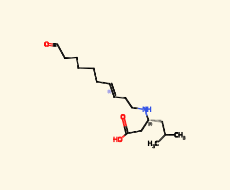 CC(C)C[C@H](CC(=O)O)NCC/C=C/CCCCCC=O